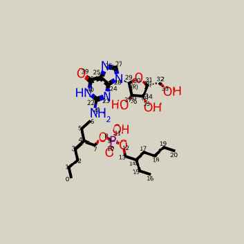 CCCCC(CC)COP(=O)(O)OCC(CC)CCCC.Nc1nc2c(ncn2[C@@H]2O[C@H](CO)[C@@H](O)[C@H]2O)c(=O)[nH]1